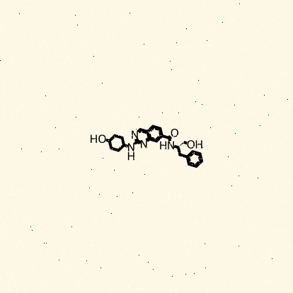 O=C(N[C@H](CO)Cc1ccccc1)c1ccc2cnc(NC3CCC(O)CC3)nc2c1